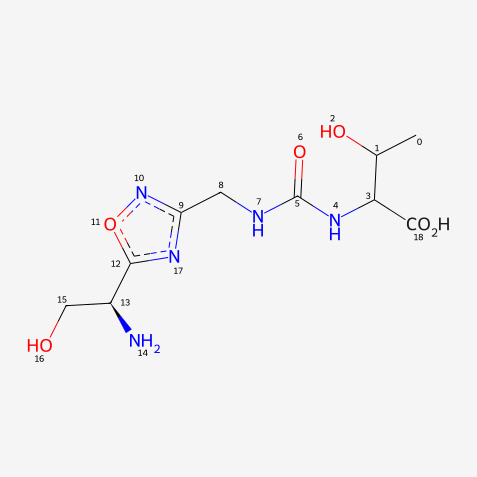 CC(O)C(NC(=O)NCc1noc([C@@H](N)CO)n1)C(=O)O